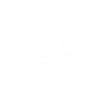 CCNc1ccccc1Nc1c(C(=O)O)cnc2c1cnn2CC